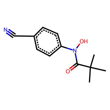 CC(C)(C)C(=O)N(O)c1ccc(C#N)cc1